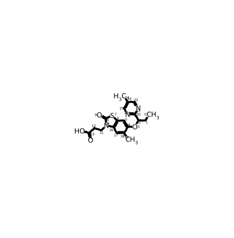 CCC(Oc1cc2sc(=O)n(CCC(=O)O)c2cc1C)c1ncc(C)cn1